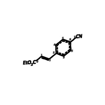 CCOC(=O)/C=C/c1ccc(C#N)cc1